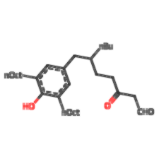 CCCCCCCCc1cc(CC(CCCC)CCC(=O)CC=O)cc(CCCCCCCC)c1O